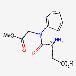 COC(=O)CN(C(=O)[C@@H](N)CC(=O)O)c1ccccc1